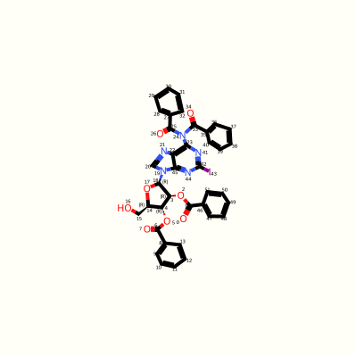 O=C(O[C@@H]1[C@H](OC(=O)c2ccccc2)[C@@H](CO)O[C@H]1n1cnc2c(N(C(=O)c3ccccc3)C(=O)c3ccccc3)nc(I)nc21)c1ccccc1